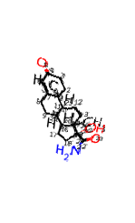 C[C@]12CCC(=O)C=C1CC[C@@H]1[C@@H]2CC[C@@]2(C)[C@H]1CC[C@]2(O)C(N)=O